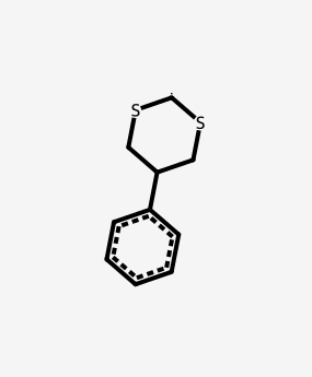 [CH]1SCC(c2ccccc2)CS1